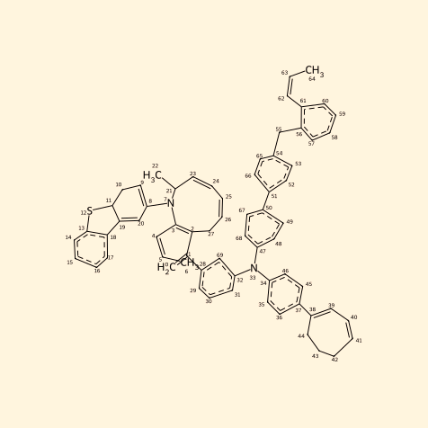 C=C(/C1=C(\C=C/C)N(C2=CCC3Sc4ccccc4C3=C2)C(C)/C=C\C=C/C1)c1cccc(N(c2ccc(C3=CC=CCCC3)cc2)c2ccc(-c3ccc(Cc4ccccc4/C=C\C)cc3)cc2)c1